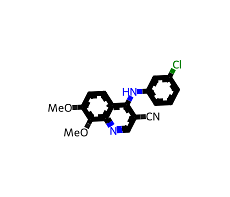 COc1ccc2c(Nc3cccc(Cl)c3)c(C#N)cnc2c1OC